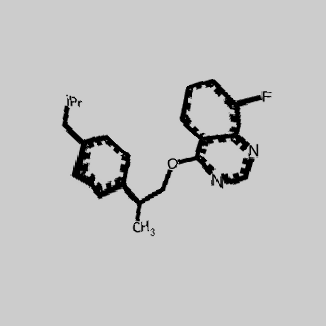 CC(C)Cc1ccc(C(C)COc2ncnc3c(F)cccc23)cc1